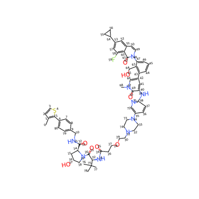 Cc1ccsc1-c1ccc(CNC(=O)[C@@H]2C[C@@H](O)CN2C(=O)[C@@H](NC(=O)CCOCCN2CCN(c3ccc(Nc4cc(-c5cccc(-n6ccc7cc(C8CC8)cc(F)c7c6=O)c5CO)cn(C)c4=O)nc3)CC2)C(C)(C)C)cc1